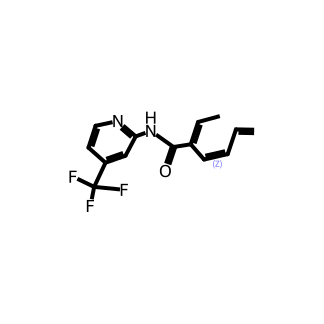 C=C/C=C\C(=CC)C(=O)Nc1cc(C(F)(F)F)ccn1